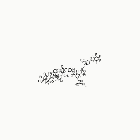 CC[C@H](C)[C@@H]([C@@H](CC(=O)N1CCC[C@H]1[C@H](OC)[C@@H](C)C(=O)N[C@@H](Cc1ccccc1)C(=O)NCc1ccc(NC(=O)[C@H](CCCNC(N)O)NC(=O)[C@@H](NC(=O)CCCN2CC[C@@H](C(=O)Oc3c(F)c(F)c(F)c(F)c3F)C[C@H]2C(F)(F)F)C(C)C)cc1)OC)N(C)C(=O)[C@@H](NC(=O)[C@H](C(C)C)N(C)C)C(C)C